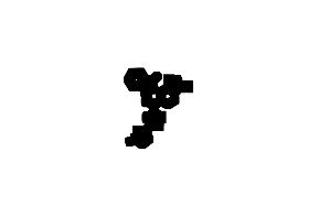 Cc1c([C@H]2c3nc[nH]c3CCN2C(=O)c2nnc(-c3ccn(C)n3)o2)oc2ccccc12